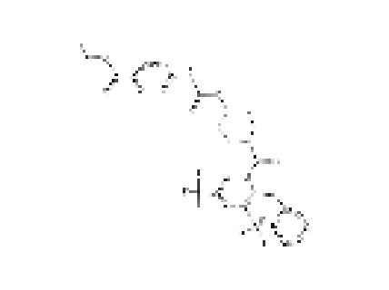 CCOC(=O)c1ccc(NC(=S)OC2CCN(C(=O)c3cc(C(F)(F)F)cc(C(F)(F)F)c3Cc3ccccc3)CC2)cc1